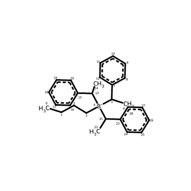 CCCC[B-](C(C)c1ccccc1)(C(C)c1ccccc1)C(C)c1ccccc1